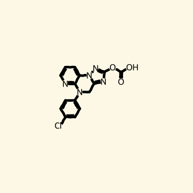 O=C(O)Oc1nc2n(n1)-c1cccnc1N(c1ccc(Cl)cc1)C2